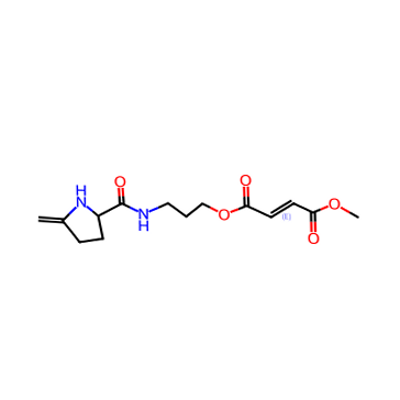 C=C1CCC(C(=O)NCCCOC(=O)/C=C/C(=O)OC)N1